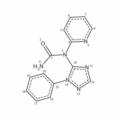 NC(=O)N(c1ccccn1)c1ncnn1-c1ccccc1